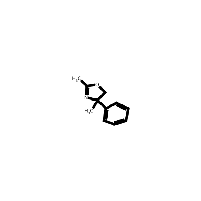 CC1=NC(C)(c2ccccc2)CO1